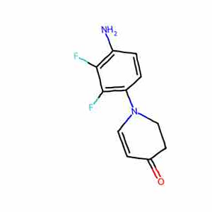 Nc1ccc(N2C=CC(=O)CC2)c(F)c1F